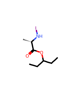 CCC(CC)OC(=O)[C@H](C)NI